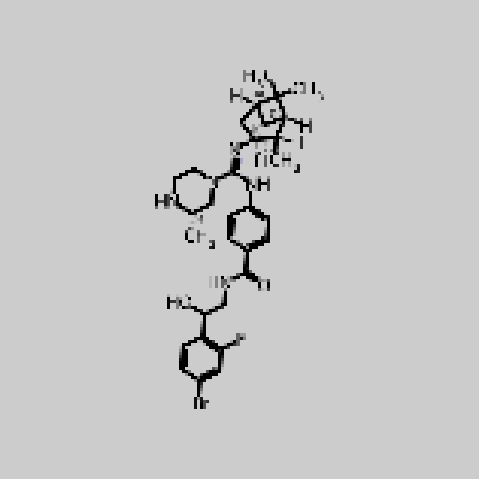 C[C@@H]1[C@@H](/N=C(\Nc2ccc(C(=O)NCC(O)c3ccc(Br)cc3F)cc2)N2CCN[C@@H](C)C2)C[C@H]2C[C@@H]1C2(C)C